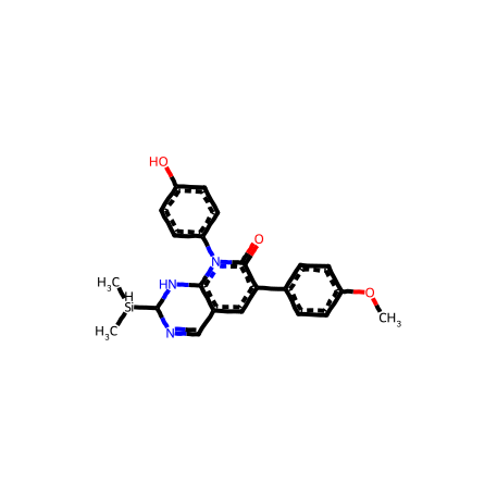 COc1ccc(-c2cc3c(n(-c4ccc(O)cc4)c2=O)NC([SiH](C)C)N=C3)cc1